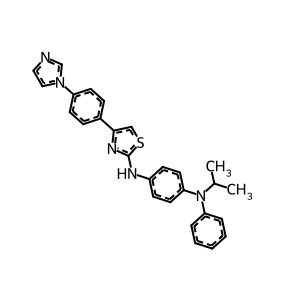 CC(C)N(c1ccccc1)c1ccc(Nc2nc(-c3ccc(-n4ccnc4)cc3)cs2)cc1